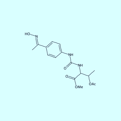 COC(=O)C(NC(=O)Nc1ccc(/C(C)=N/O)cc1)C(C)OC(C)=O